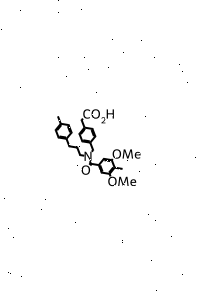 COc1cc(C(=O)N(CCCc2ccc(C)cc2)Cc2ccc(CC(=O)O)cc2)cc(OC)c1C